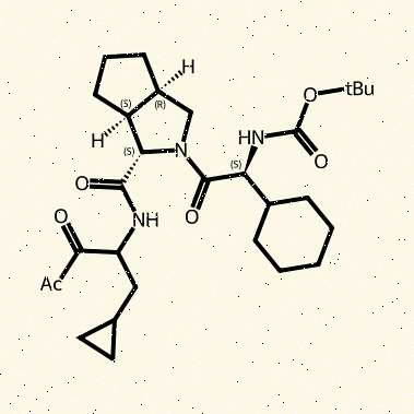 CC(=O)C(=O)C(CC1CC1)NC(=O)[C@@H]1[C@H]2CCC[C@H]2CN1C(=O)[C@@H](NC(=O)OC(C)(C)C)C1CCCCC1